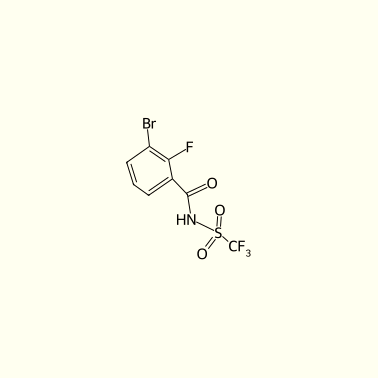 O=C(NS(=O)(=O)C(F)(F)F)c1cccc(Br)c1F